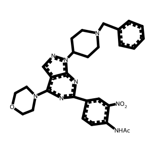 CC(=O)Nc1ccc(-c2nc(N3CCOCC3)c3cnn(C4CCN(Cc5ccccc5)CC4)c3n2)cc1[N+](=O)[O-]